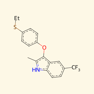 CCSc1ccc(Oc2c(C)[nH]c3ccc(C(F)(F)F)cc23)cc1